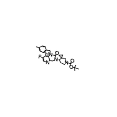 Cc1ccc(CNC(=O)N(Cc2ccc(F)cn2)[C@H]2CCN(C(=O)OC(C)(C)C)CC23CC3)cc1